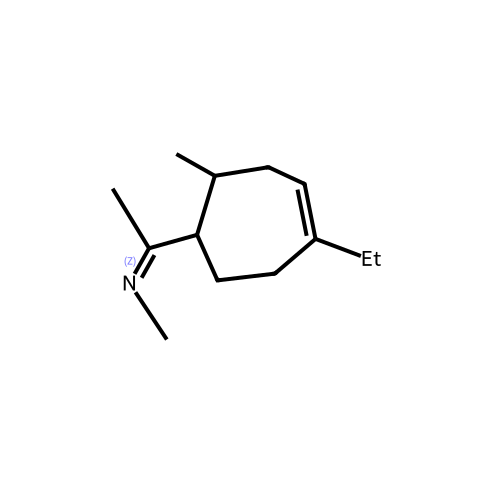 CCC1=CCC(C)C(/C(C)=N\C)CC1